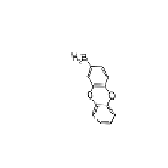 Bc1ccc2c(c1)Oc1ccccc1O2